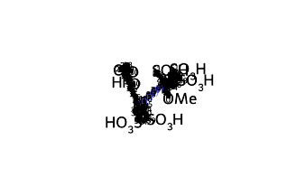 COCC[N+]1=C(/C=C/C=C/C=C/C=C2/N(CCCCCC(=O)NCCN3C(=O)C=CC3=O)c3ccc4c(S(=O)(=O)O)cc(S(=O)(=O)O)cc4c3C2(C)C)C(C)(CCCS(=O)(=O)O)c2c1ccc1c(S(=O)(=O)O)cc(S(=O)(=O)O)cc21